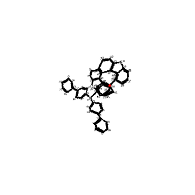 c1ccc(-c2ccc(N(c3ccc(-c4ccccc4)cc3)c3ccc(-c4cccc5sc6ccc7ccc8oc9ccccc9c8c7c6c45)cc3)cc2)cc1